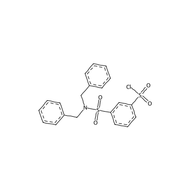 O=S(=O)(Cl)c1cccc(S(=O)(=O)N(Cc2ccccc2)Cc2ccccc2)c1